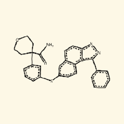 NC(=O)C1(c2cccc(Sc3ccc4c(ccc5nnc(-c6ccccc6)n54)c3)c2)CCOCC1